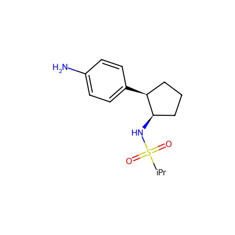 CC(C)S(=O)(=O)N[C@@H]1CCC[C@@H]1c1ccc(N)cc1